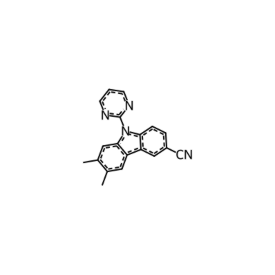 Cc1cc2c3cc(C#N)ccc3n(-c3ncccn3)c2cc1C